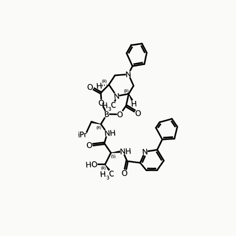 CC(C)C[C@H](NC(=O)[C@@H](NC(=O)c1cccc(-c2ccccc2)n1)[C@@H](C)O)B1OC(=O)[C@H]2CN(c3ccccc3)C[C@H](C(=O)O1)N2C